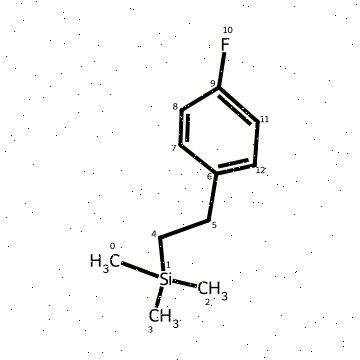 C[Si](C)(C)CCc1ccc(F)cc1